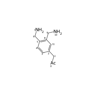 CC(=O)Cc1[c]cc(CN)c(CN)c1